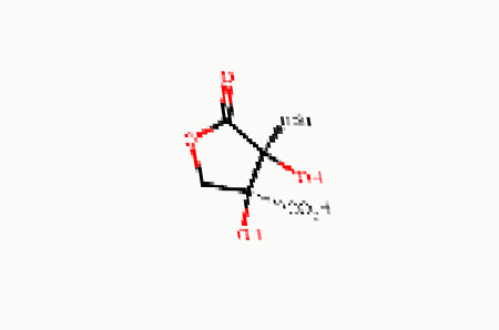 CCCC[C@]1(O)C(=O)OC[C@@]1(O)C(=O)O